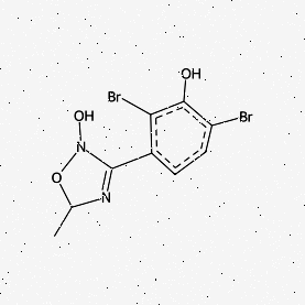 CC1N=C(c2ccc(Br)c(O)c2Br)N(O)O1